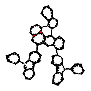 c1ccc(-c2c(-c3c4cccc(-c5ccc6c7ccccc7n(-c7ccccc7)c6c5)c4cc4c(-c5ccc6c7ccccc7n(-c7ccccc7)c6c5)cccc34)ccc3ccccc23)cc1